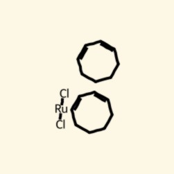 C1=C\CCCC\C=C/1.C1=C\CCCC\C=C/1.[Cl][Ru][Cl]